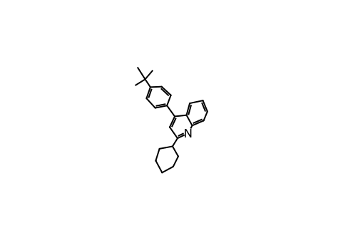 CC(C)(C)c1ccc(-c2cc(C3CCCCC3)nc3ccccc23)cc1